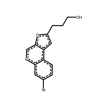 OCCCc1cc2c(cnc3cc(Br)ccc32)o1